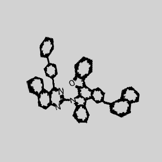 c1ccc(-c2ccc(-c3nc(-n4c5ccccc5c5c6cc(-c7cccc8ccccc78)ccc6c6c7ccccc7oc6c54)nc4ccc5ccccc5c34)cc2)cc1